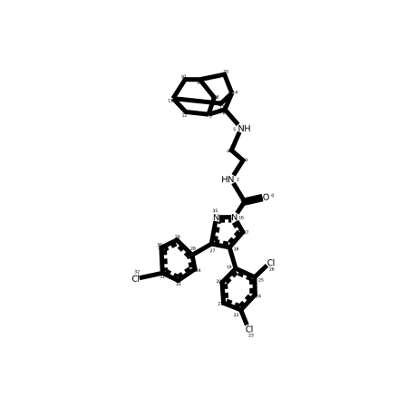 O=C(NCCNC1C2CC3CC(C2)CC1C3)n1cc(-c2ccc(Cl)cc2Cl)c(-c2ccc(Cl)cc2)n1